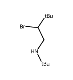 CC(C)(C)NCC(Br)C(C)(C)C